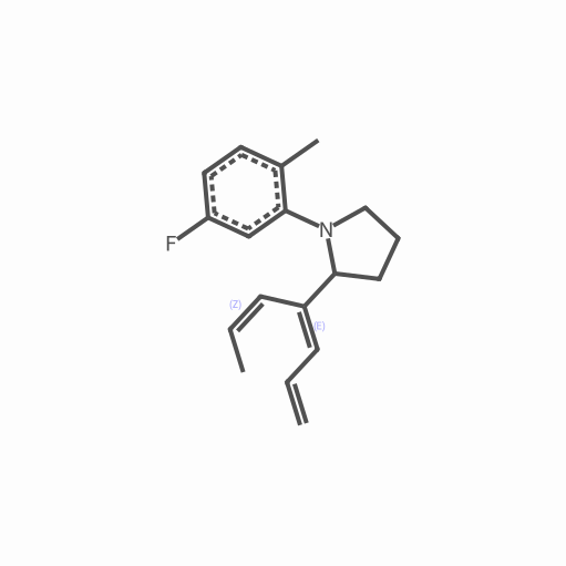 C=C/C=C(\C=C/C)C1CCCN1c1cc(F)ccc1C